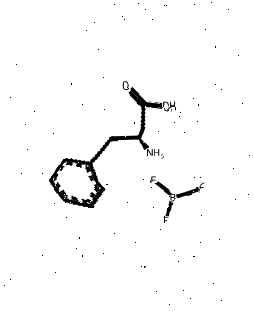 FB(F)F.N[C@@H](Cc1ccccc1)C(=O)O